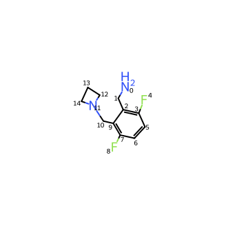 NCc1c(F)ccc(F)c1CN1CCC1